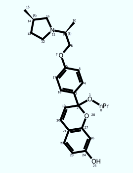 CCCOC1(c2ccc(OC[C@H](C)N3CC[C@@H](C)C3)cc2)C=Cc2ccc(O)cc2O1